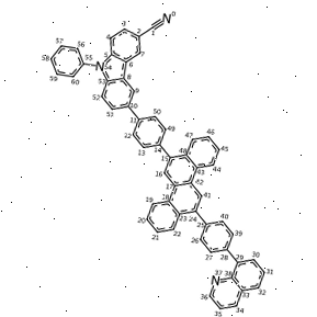 N#Cc1ccc2c(c1)c1cc(-c3ccc(-c4cc5c6ccccc6c(-c6ccc(-c7cccc8cccnc78)cc6)cc5c5ccccc45)cc3)ccc1n2-c1ccccc1